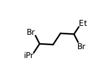 CCC(Br)CCC(Br)C(C)C